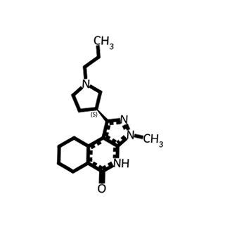 CCCN1CC[C@H](c2nn(C)c3[nH]c(=O)c4c(c23)CCCC4)C1